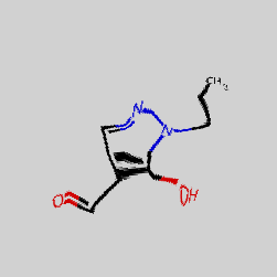 CCn1ncc(C=O)c1O